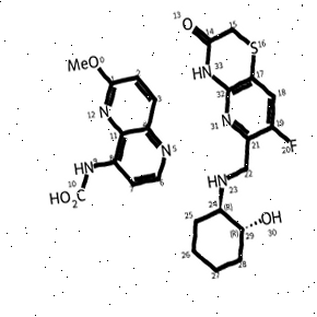 COc1ccc2nccc(NC(=O)O)c2n1.O=C1CSc2cc(F)c(CN[C@@H]3CCCC[C@H]3O)nc2N1